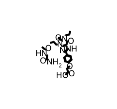 CC(=O)NCC(N)=O.CCCn1c(=O)c2[nH]c(-c3ccc(OCC(=O)O)cc3)nc2n(CCC)c1=O